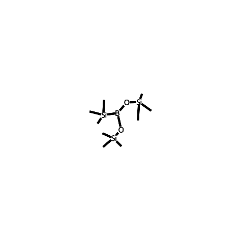 C[Si](C)(C)OB(O[Si](C)(C)C)[Si](C)(C)C